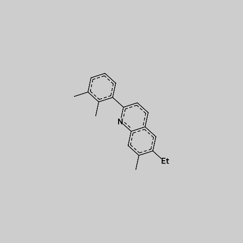 CCc1cc2ccc(-c3cccc(C)c3C)nc2cc1C